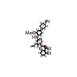 C=CCC(F)(F)C(/C=N\C(C)Nc1ccc(N2CCN(C(C)C)CC2)cc1OC)=C(/C=C)Oc1cccc(CC)c1C(=O)CC